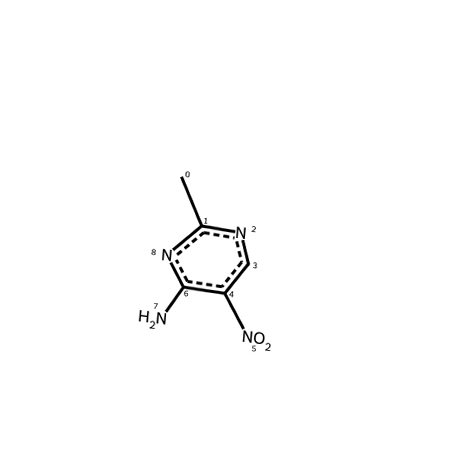 Cc1ncc([N+](=O)[O-])c(N)n1